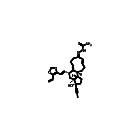 C=CC1=C(/C=C/[C@H]2C[C@@]3(C)[C@@H](CC[C@@]3(O)C#CC)[C@@H]3CC/C=C/C(=NNC(N)=S)CC/C=C/32)OCO1